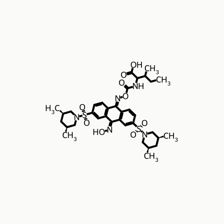 CCC(C)C(NC(=O)ON=C1c2ccc(S(=O)(=O)N3C[C@H](C)C[C@H](C)C3)cc2C(=NO)c2cc(S(=O)(=O)N3C[C@H](C)C[C@H](C)C3)ccc21)C(=O)O